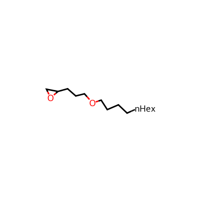 [CH2]CCCCCCCCCOCCCC1CO1